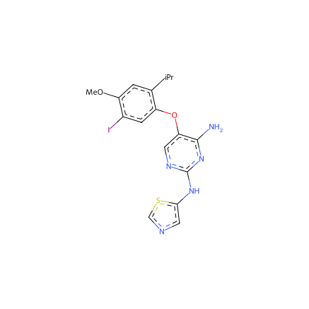 COc1cc(C(C)C)c(Oc2cnc(Nc3cncs3)nc2N)cc1I